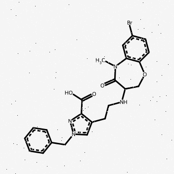 CN1C(=O)C(NCCc2cn(Cc3ccccc3)nc2C(=O)O)COc2ccc(Br)cc21